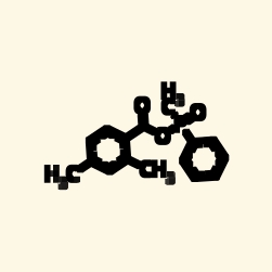 Cc1ccc(C(=O)OP(C)(=O)c2ccccc2)c(C)c1